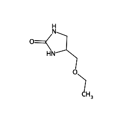 CCOCC1CNC(=O)N1